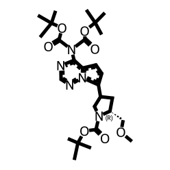 COC[C@H]1CC(c2ccc3c(N(C(=O)OC(C)(C)C)C(=O)OC(C)(C)C)ncnn23)CN1C(=O)OC(C)(C)C